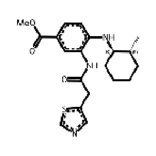 COC(=O)c1ccc(N[C@@H]2CCCC[C@H]2C)c(NC(=O)Cc2cncs2)c1